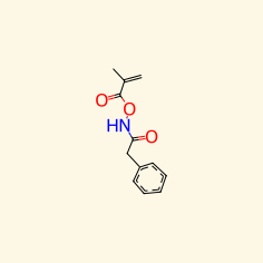 C=C(C)C(=O)ONC(=O)Cc1ccccc1